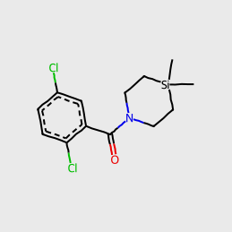 C[Si]1(C)CCN(C(=O)c2cc(Cl)ccc2Cl)CC1